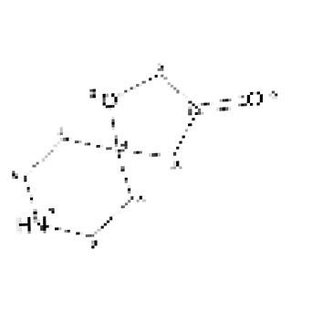 O=C1COC2(CCNCC2)C1